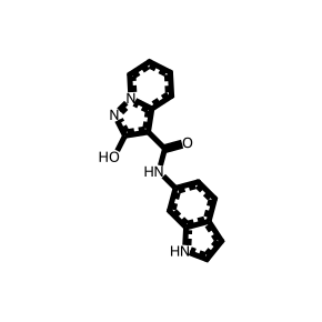 O=C(Nc1ccc2cc[nH]c2c1)c1c(O)nn2ccccc12